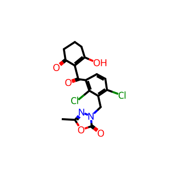 Cc1nn(Cc2c(Cl)ccc(C(=O)C3=C(O)CCCC3=O)c2Cl)c(=O)o1